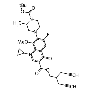 C#CCC(CC#C)COC(=O)c1cn(C2CC2)c2c(OC)c(N3CCN(C(=O)OC(C)(C)C)C(C)C3)c(F)cc2c1=O